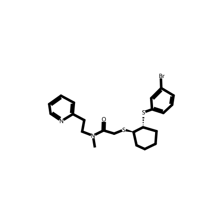 CN(CCc1ccccn1)C(=O)CS[C@@H]1CCCC[C@H]1Sc1cccc(Br)c1